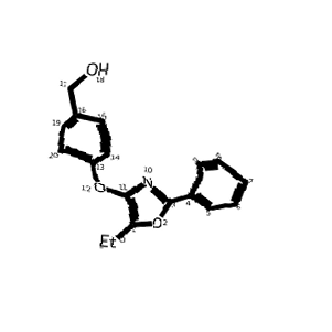 CCc1oc(-c2ccccc2)nc1Oc1ccc(CO)cc1